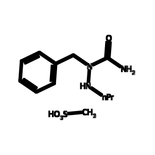 CCCNN(Cc1ccccc1)C(N)=O.CS(=O)(=O)O